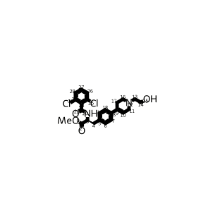 COC(=O)[C@H](Cc1ccc(C2=CCN(CCO)CC2)cc1)NC(=O)c1c(Cl)cccc1Cl